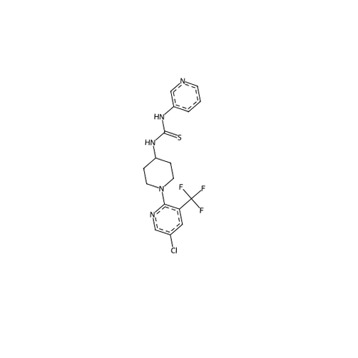 FC(F)(F)c1cc(Cl)cnc1N1CCC(NC(=S)Nc2cccnc2)CC1